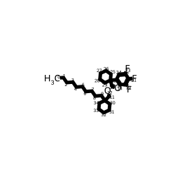 CCCCCCCCCCC1(COC(=O)C2(c3cc(F)c(F)c(F)c3)CCCCC2)CCCCC1